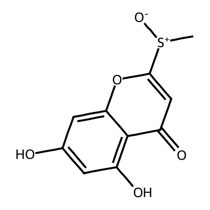 C[S+]([O-])c1cc(=O)c2c(O)cc(O)cc2o1